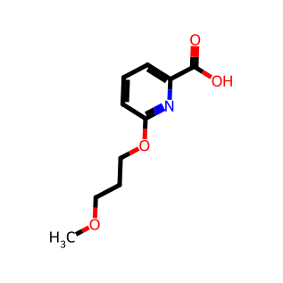 COCCCOc1cccc(C(=O)O)n1